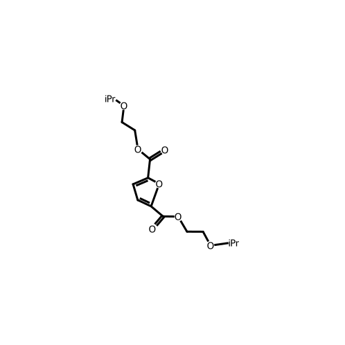 CC(C)OCCOC(=O)c1ccc(C(=O)OCCOC(C)C)o1